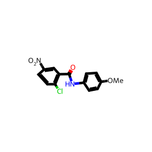 COc1ccc(NC(=O)c2cc([N+](=O)[O-])ccc2Cl)cc1